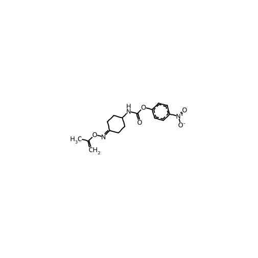 C=C(C)ON=C1CCC(NC(=O)Oc2ccc([N+](=O)[O-])cc2)CC1